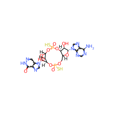 Nc1ncnc2c1ncn2[C@@H]1O[C@@H]2COP(=O)(S)O[C@@H]3[C@H](O)[C@H](O[C@H]3n3cnc4c(=O)[nH]ncc43)OP(=O)(S)O[C@H]2[C@H]1O